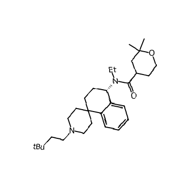 CCN(C(=O)C1CCOC(C)(C)C1)[C@H]1CCC2(CCN(CCC(C)(C)C)CC2)c2ccccc21